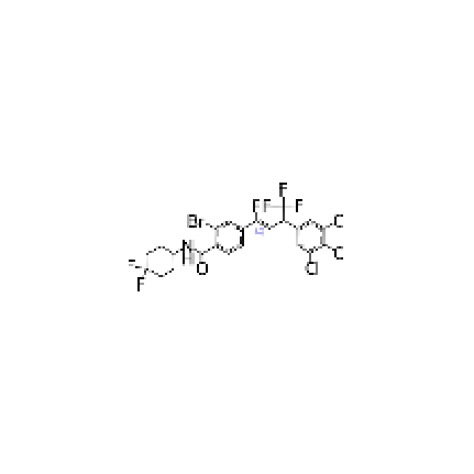 O=C(NC1CCC(F)(F)CC1)c1ccc(/C(F)=C/C(c2cc(Cl)c(Cl)c(Cl)c2)C(F)(F)F)cc1Br